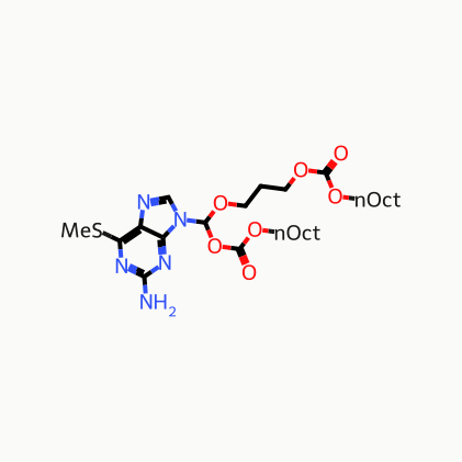 CCCCCCCCOC(=O)OCCCOC(OC(=O)OCCCCCCCC)n1cnc2c(SC)nc(N)nc21